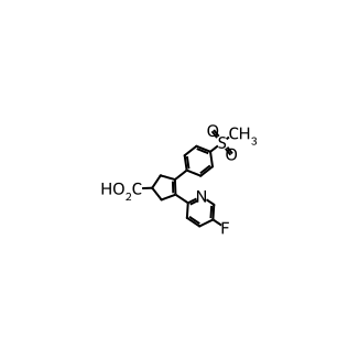 CS(=O)(=O)c1ccc(C2=C(c3ccc(F)cn3)CC(C(=O)O)C2)cc1